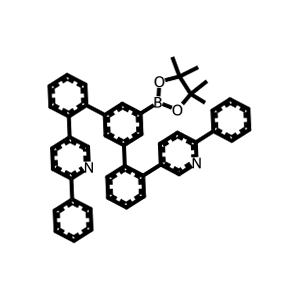 CC1(C)OB(c2cc(-c3ccccc3-c3ccc(-c4ccccc4)nc3)cc(-c3ccccc3-c3ccc(-c4ccccc4)nc3)c2)OC1(C)C